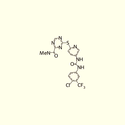 CNC(=O)c1ncnc(Sc2ccc(NC(=O)Nc3ccc(Cl)c(C(F)(F)F)c3)cn2)n1